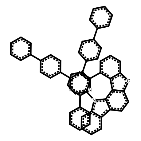 c1ccc(-c2ccc(-c3cccc(-n4c5ccccc5c5ccc6oc7cccc(-c8nc(-c9ccccc9)nc(-c9ccc(-c%10ccccc%10)cc9)n8)c7c6c54)c3)cc2)cc1